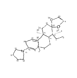 CC[C@@]1(C)C2CCC3(C)C=C(N4CCCC4)CC=C3[C@@]2(C)CCC12OCCO2